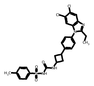 CCc1nc2cc(Cl)c(Cl)cc2n1-c1ccc(C2CC(NC(=O)NS(=O)(=O)c3ccc(C)cc3)C2)cc1